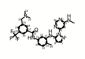 CNc1cc(-n2nccc2Nc2cc(NC(=O)c3cc(CN(C)C)cc(C(F)(F)F)c3)ccc2C)ncn1